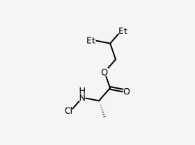 CCC(CC)COC(=O)[C@H](C)NCl